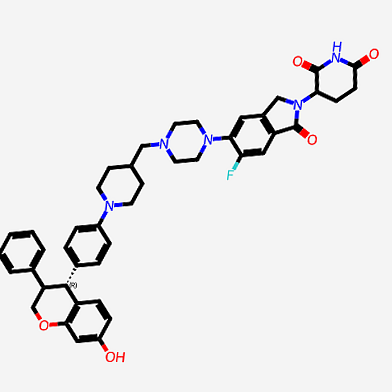 Cc1cccc(C2COc3cc(O)ccc3[C@H]2c2ccc(N3CCC(CN4CCN(c5cc6c(cc5F)C(=O)N(C5CCC(=O)NC5=O)C6)CC4)CC3)cc2)c1